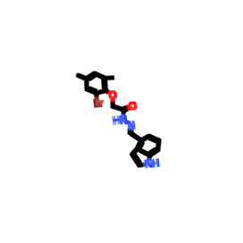 Cc1cc(C)c(OCC(=O)NN=Cc2cccc3[nH]ccc23)c(Br)c1